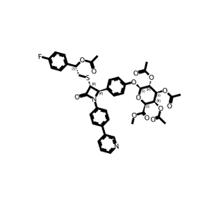 COC(=O)[C@H]1O[C@@H](Oc2ccc([C@@H]3[C@@H](SC[C@@H](OC(C)=O)c4ccc(F)cc4)C(=O)N3c3ccc(-c4cccnc4)cc3)cc2)[C@H](OC(C)=O)[C@@H](OC(C)=O)[C@H]1OC(C)=O